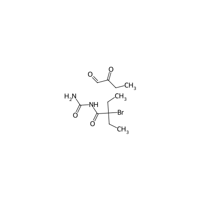 CCC(=O)C=O.CCC(Br)(CC)C(=O)NC(N)=O